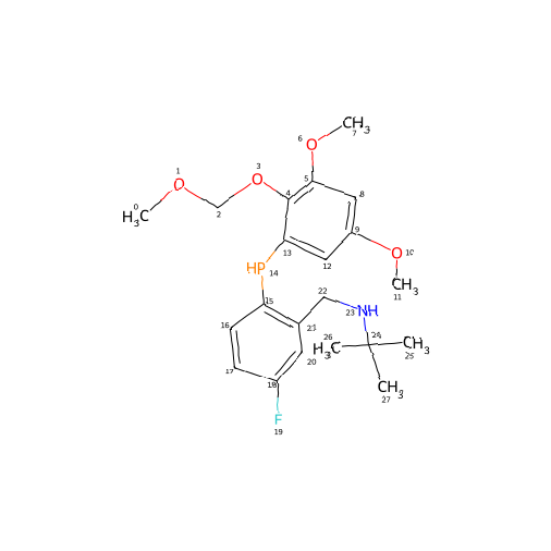 COCOc1c(OC)cc(OC)cc1Pc1ccc(F)cc1CNC(C)(C)C